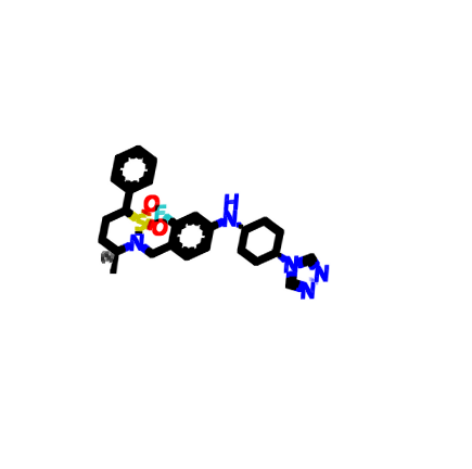 C[C@H]1CCC(c2ccccc2)S(=O)(=O)N1Cc1ccc(N[C@H]2CC[C@H](n3cnnc3)CC2)cc1F